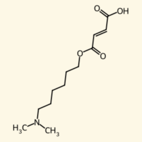 CN(C)CCCCCCOC(=O)C=CC(=O)O